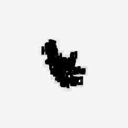 C=C[C@@H]1C[C@]1(NC(=O)[C@@H]1C[C@@H](Oc2ncc(OC)c3ccc(Cl)cc23)CN1C(=O)[C@@H](Nc1nc(-c2cc(-c3ccc(Cl)cc3Cl)no2)cs1)C(=C)C)C(=O)NS(=O)(=O)C1CC1